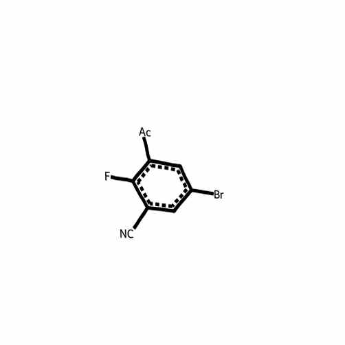 CC(=O)c1cc(Br)cc(C#N)c1F